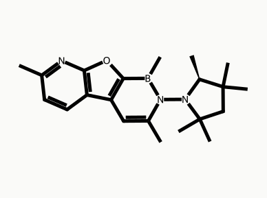 CB1c2oc3nc(C)ccc3c2C=C(C)N1N1[C@@H](C)C(C)(C)CC1(C)C